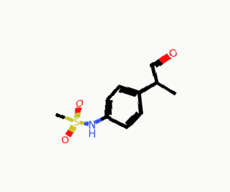 CC(C=O)c1ccc(NS(C)(=O)=O)cc1